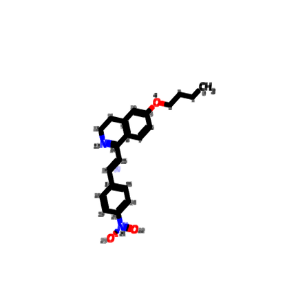 CCCCOc1ccc2c(c1)CCN=C2/C=C/c1ccc([N+](=O)[O-])cc1